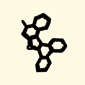 Cc1cc2oc3c4ccccc4c4ccccc4c3c2c2ccccc12